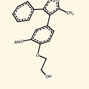 COc1cc(-c2c(-c3ccccc3)noc2C)ccc1OCCO